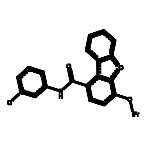 CC(C)Oc1ccc(C(=O)Nc2ccc[n+]([O-])c2)c2c1oc1ccccc12